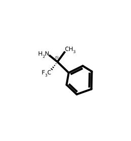 C[C@](N)(c1ccccc1)C(F)(F)F